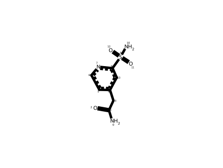 NC(=O)[CH]c1ccnc(S(N)(=O)=O)c1